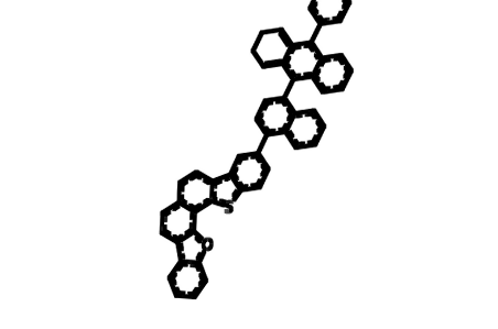 C1=c2c(-c3ccccc3)c3ccccc3c(-c3ccc(-c4ccc5sc6c(ccc7ccc8c9ccccc9oc8c76)c5c4)c4ccccc34)c2=CCC1